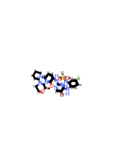 COc1nc(N2CCCCC2N2CCOCC2)ccc1Nc1ncc(Br)c(Nc2ccc(F)cc2NS(C)(=O)=O)n1